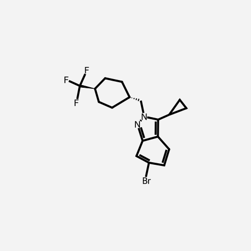 FC(F)(F)[C@H]1CC[C@H](Cn2nc3cc(Br)ccc3c2C2CC2)CC1